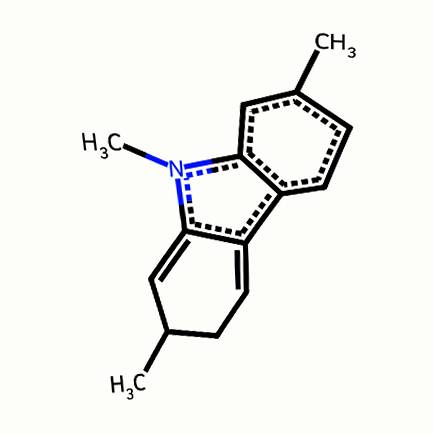 Cc1ccc2c3c(n(C)c2c1)=CC(C)CC=3